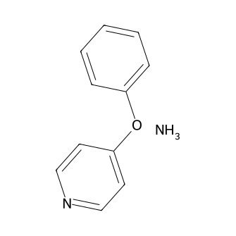 N.c1ccc(Oc2ccncc2)cc1